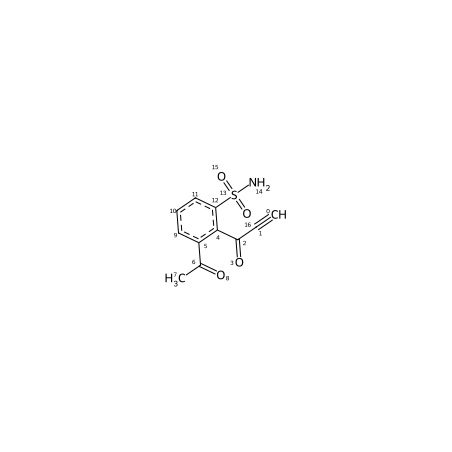 C#CC(=O)c1c(C(C)=O)cccc1S(N)(=O)=O